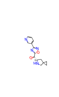 O=C(c1nc(-c2cccnc2)no1)[C@@H]1CC2(CC2)CN1